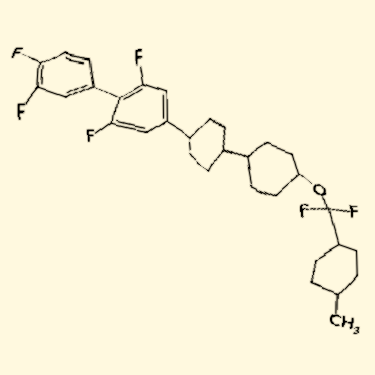 CC1CCC(C(F)(F)OC2CCC(C3CCC(c4cc(F)c(-c5ccc(F)c(F)c5)c(F)c4)CC3)CC2)CC1